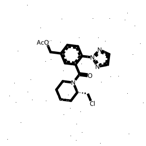 CC(=O)OCc1ccc(-n2nccn2)c(C(=O)N2CCCC[C@H]2CCl)c1